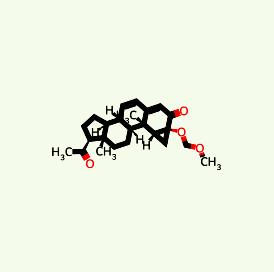 COCO[C@@]12C[C@@H]1[C@@]1(C)C(=CC2=O)C=C[C@H]2[C@@H]3CC[C@H](C(C)=O)[C@@]3(C)CC[C@@H]21